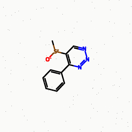 C[S+]([O-])c1cnnnc1-c1ccccc1